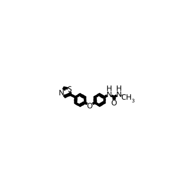 CNC(=O)Nc1ccc(Oc2ccc(-c3cncs3)cc2)cc1